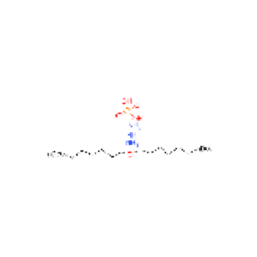 CCCCCCCCCCCCCCCCOCCCCCCCCCCCCCCCC.N.N.N.O=P(O)(O)O